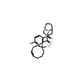 O=C(CC1(O)CC/C=C\CCC1)N1CC2CCN(C1)N2C(=O)c1ccc(F)nc1